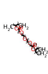 C=CC(C=C)OC(=O)COCCOCCOCC(=O)OC(C=C)C=C